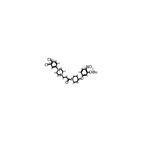 CC(C)COc1cc(OC2CCN(C(=O)CCN3CCN(c4ccc(Cl)c(Cl)c4)CC3)CC2)ccc1[N+](=O)[O-]